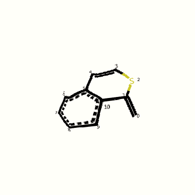 C=C1SC=Cc2ccccc21